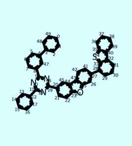 c1ccc(-c2cccc(-c3nc(-c4ccccc4)nc(-c4ccc5oc6cc(-c7cccc8c7sc7ccccc78)ccc6c5c4)n3)c2)cc1